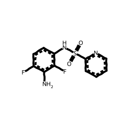 Nc1c(F)ccc(NS(=O)(=O)c2ccccn2)c1F